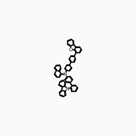 c1ccc(-n2c3ccccc3c3ccccc32)c(-c2ccc(N(c3ccc(-c4ccc(-c5cccc6c5oc5ccccc56)cc4)cc3)c3cccc4ccccc34)cc2)c1